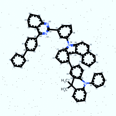 CC1(C)c2ccccc2N(c2ccccc2)c2ccc(-c3cccc4c3c3c5ccccc5ccc3n4-c3cccc(-c4nc(-c5ccc(-c6ccccc6)cc5)c5ccccc5n4)c3)cc21